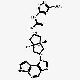 COc1nsc(NC(=O)N[C@@H]2C[C@@H]3C[C@@H](n4cnc5cnc6[nH]ccc6c54)C[C@@H]3C2)n1